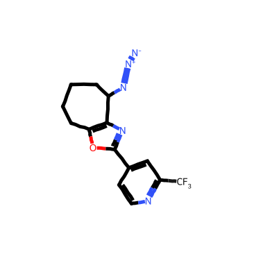 [N-]=[N+]=NC1CCCCc2oc(-c3ccnc(C(F)(F)F)c3)nc21